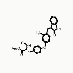 COC(=O)[C@@H](Cc1ccc(Oc2ccc(CC3C(=O)Nc4ccccc43)c(C(F)(F)F)c2)cc1)NCl